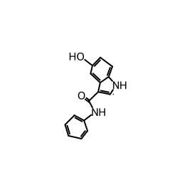 O=C(Nc1ccccc1)c1[c][nH]c2ccc(O)cc12